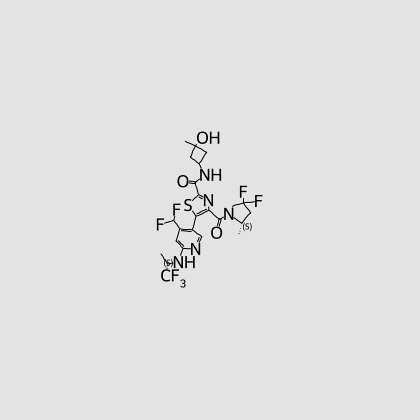 C[C@H](Nc1cc(C(F)F)c(-c2sc(C(=O)NC3CC(C)(O)C3)nc2C(=O)N2CC(F)(F)C[C@@H]2C)cn1)C(F)(F)F